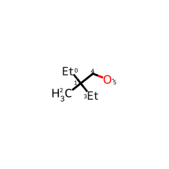 CCC(C)(CC)C[O]